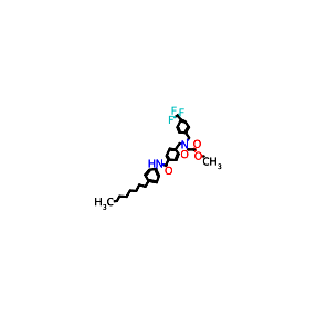 CCCCCCCCc1ccc(NC(=O)c2ccc(CN(Cc3ccc(C(F)(F)F)cc3)C(=O)C(=O)OCC)cc2)cc1